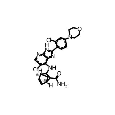 NC(=O)C1C(Nc2c(Cl)cnc3[nH]c(-c4ccc(N5CCOCC5)cc4Cl)nc23)[C@H]2C=C[C@@H]1C2